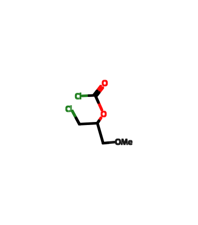 COCC(CCl)OC(=O)Cl